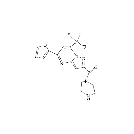 O=C(c1cc2nc(-c3ccco3)cc(C(F)(F)Cl)n2n1)N1CCNCC1